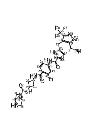 N#CCc1[nH]nc(C(F)(F)F)c1Cc1cnc(C(=O)Nc2ccc(C(=O)NC3CC(NC(=O)N4CC5CC4CN5)C3)c(Cl)c2)[nH]1